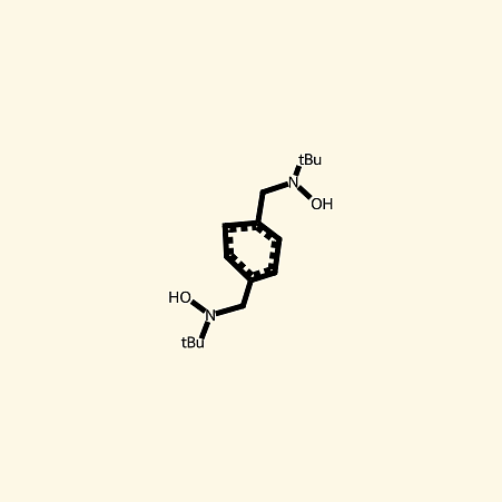 CC(C)(C)N(O)Cc1ccc(CN(O)C(C)(C)C)cc1